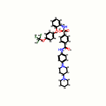 O=C(Nc1ccc(N2CCC(N3CCCCC3)CC2)cc1)c1ccc(S(=O)(=O)Nc2ccccc2Oc2ccc(OC(F)(F)F)cc2)cc1